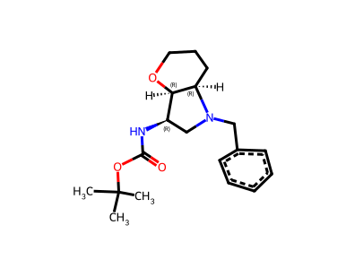 CC(C)(C)OC(=O)N[C@@H]1CN(Cc2ccccc2)[C@@H]2CCCO[C@@H]21